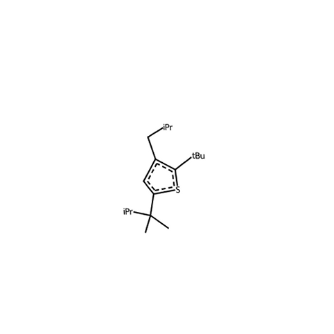 CC(C)Cc1cc(C(C)(C)C(C)C)sc1C(C)(C)C